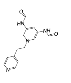 O=CNC1=CN(CCc2ccncc2)CC(NC=O)=C1